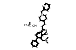 CN(C)Cc1c(-c2ccccc2)ccc2c(CCC3CCN(Cc4ccccn4)CC3)noc12.Cl.Cl.Cl